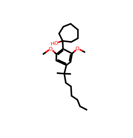 CCCCCCC(C)(C)c1cc(OC)c(C2(O)CCCCCC2)c(OC)c1